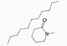 CCCCCCCCCCC.CN1CCCCC1=O